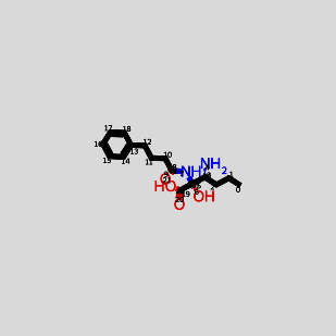 CCC[C@@H](N)[C@@](O)(NC(=O)CCCc1ccccc1)C(=O)O